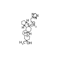 C[C@@]1(O)CC[C@H]2C(CCC3C4[C@@H]5CCC[C@@H]5[C@H](C(=O)Cn5ncnn5)[C@@]4(C)CC[C@@H]32)C1